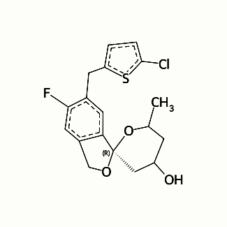 CC1CC(O)C[C@@]2(OCc3cc(F)c(Cc4ccc(Cl)s4)cc32)O1